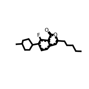 CCCCCc1cc2ccc(C3CCC(C)CC3)c(F)c2c(=O)o1